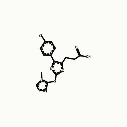 Cn1cnnc1Sc1nc(-c2ccc(Cl)cc2)c(CCC(=O)O)o1